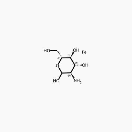 N[C@H]1C(O)O[C@H](CO)[C@@H](O)[C@@H]1O.[Fe]